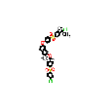 CCC(C)(Cl)c1ccc(S(=O)(=O)c2ccc(Oc3ccc4ccc(OC(C)(CC)c5ccc(S(=O)(=O)c6ccc(Cl)cc6)cc5)cc4c3)cc2)cc1